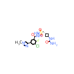 Cn1cnc(-c2cc(Cl)c(F)c(C(=O)NNS(=O)(=O)C[C@H]3C[C@H](NC(N)=O)C3)c2)c1